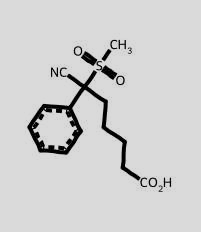 CS(=O)(=O)C(C#N)(CCCCC(=O)O)c1ccccc1